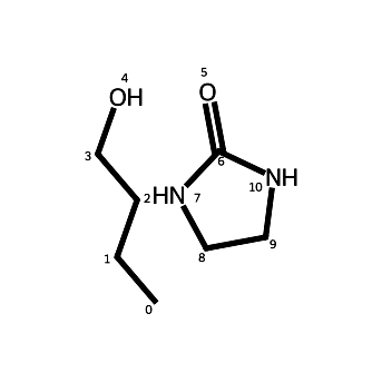 CCCCO.O=C1NCCN1